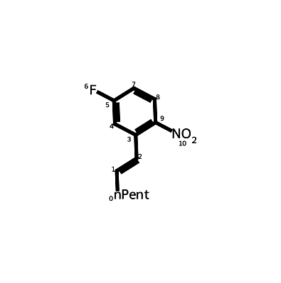 CCCCCC=Cc1cc(F)ccc1[N+](=O)[O-]